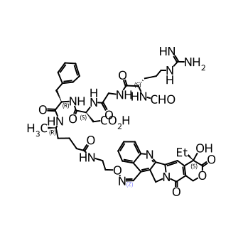 CC[C@@]1(O)C(=O)OCc2c1cc1n(c2=O)Cc2c-1nc1ccccc1c2/C=N\OCCNC(=O)CCC[C@@H](C)NC(=O)[C@@H](Cc1ccccc1)NC(=O)[C@H](CC(=O)O)NC(=O)CNC(=O)[C@H](CCCNC(=N)N)NC=O